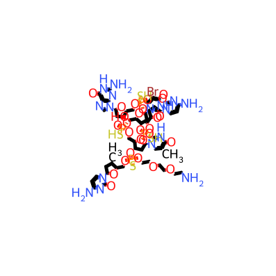 Cc1cn([C@H]2C[C@@H](OP(=S)(OCCOCCOCCN)OCC3O[C@@H](n4ccc(N)nc4=O)C[C@H]3C)C(COP(=O)(S)O[C@@H]3C[C@H](n4cnc5c(=O)[nH]c(N)nc54)OC3COP(=O)(S)O[C@@H]3C[C@H](n4ccc(N)nc4=O)OC3COP(=O)(S)O[C@@H]3C[C@H](n4cc(Br)c(=O)[nH]c4=O)OC3CO)O2)c(=O)[nH]c1=O